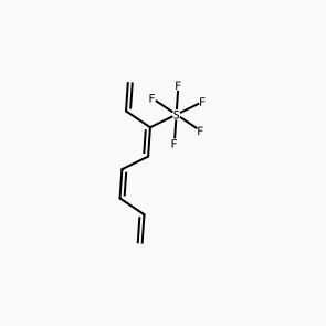 C=C/C=C\C=C(/C=C)S(F)(F)(F)(F)F